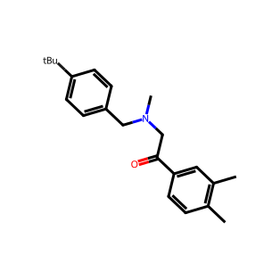 Cc1ccc(C(=O)CN(C)Cc2ccc(C(C)(C)C)cc2)cc1C